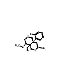 CO[C@H]1COC[C@]2(c3ccccc3F)N=C(N)SC[C@]12N